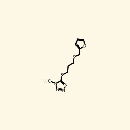 Cn1nnnc1SCCCSCc1ccco1